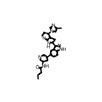 CCCC(=O)Nc1cncc(-c2ccc3[nH]nc(-c4cc5c(-n6cnc(C)c6)ccnc5[nH]4)c3c2)c1